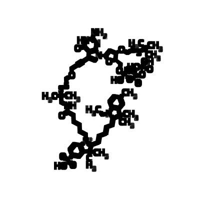 CCN1\C(=C/C=C/C=C/C2=[N+](CCCCCC(=O)NCC(C)(C)SSCOCC#Cc3cn([C@H]4C[C@@H](OCSSC(C)(C)C)[C@@H](COP(=O)(O)OP(=O)(O)OP(=O)(O)O)O4)c4nc(N)[nH]c(=O)c34)c3ccc(S(=O)(=O)O)cc3C2(C)C)C(C)(C)c2cc(C)ccc21